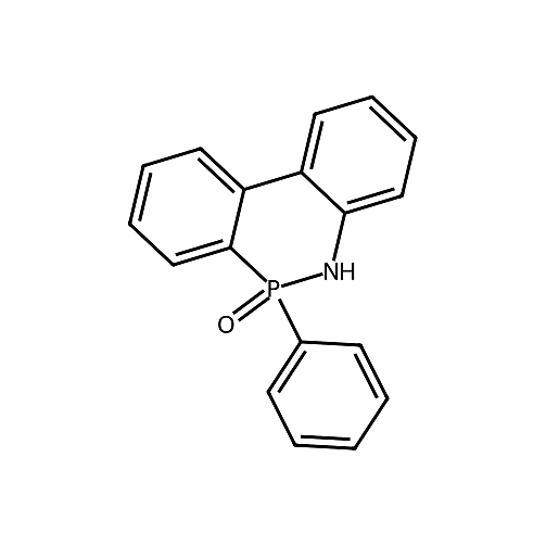 O=P1(c2ccccc2)Nc2ccccc2-c2ccccc21